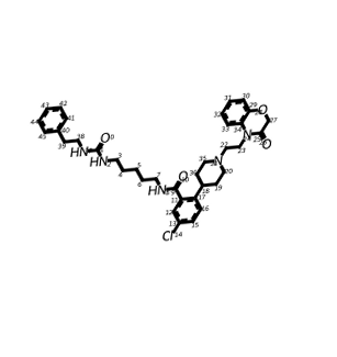 O=C(NCCCCCNC(=O)c1cc(Cl)ccc1C1CCN(CCN2C(=O)COc3ccccc32)CC1)NCCc1ccccc1